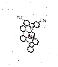 N#Cc1ccc2c(c1)c1cc(C#N)ccc1n2-c1ccccc1-c1ccccc1-c1cccc(-n2c3ccccc3c3ccccc32)c1C#N